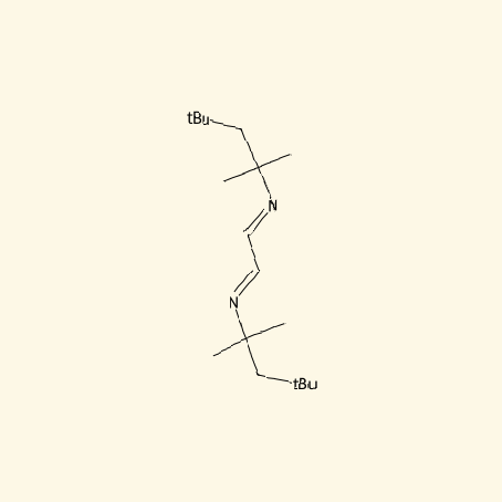 CC(C)(C)CC(C)(C)N=C/C=N/C(C)(C)CC(C)(C)C